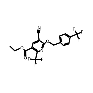 CCOC(=O)c1cc(C#N)c(OCc2ccc(C(F)(F)F)cc2)nc1C(F)(F)F